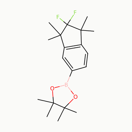 CC1(C)OB(c2ccc3c(c2)C(C)(C)C(F)(F)C3(C)C)OC1(C)C